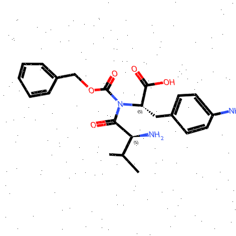 CC(C)[C@H](N)C(=O)N(C(=O)OCc1ccccc1)[C@@H](Cc1ccc(N)cc1)C(=O)O